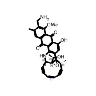 COc1c(CN)c(C)cc2c1C(=O)c1c(O)cc3c(c1C2=O)N[C@H]1C#C/C=C\C#C[C@@H](C)[C@@]32O[C@@]12[C@@H](C)O